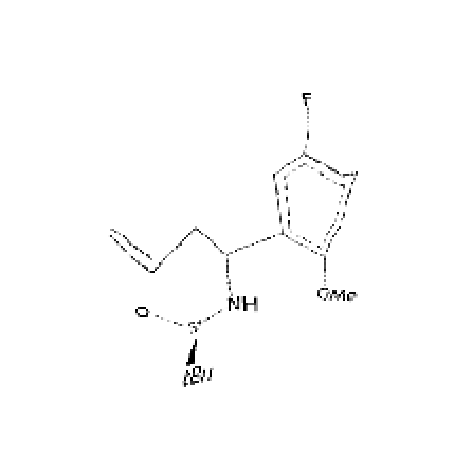 C=CCC(N[S@+]([O-])C(C)(C)C)c1cc(F)ccc1OC